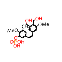 COc1cc(/C=C\c2cc(C)c(OC)c(OP(=O)(O)O)c2)cc(CO)c1CO